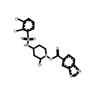 CCC1CC(NS(=O)(=O)c2cccc(Cl)c2Cl)CCN1OC(=O)c1ccc2ncsc2c1